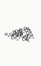 C[CH2][Al][CH2]C.C[CH2][Al][CH2]C.C[CH](C)[Al+][CH](C)C.C[CH](C)[Al+][CH](C)C.[O-2]